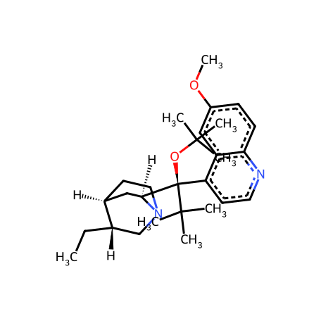 CC[C@H]1CN2CC[C@H]1C[C@H]2[C@](OC(C)(C)C)(c1ccnc2ccc(OC)cc12)C(C)(C)C